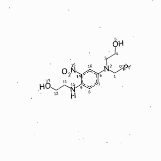 CC(C)CN(CCO)c1ccc(NCCO)c([N+](=O)[O-])c1